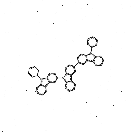 C1=CCC(n2c3ccccc3c3cc(-n4c5ccccc5c5cc(-c6ccc7c(c6)c6ccccc6n7-c6ccccc6)ccc54)ccc32)C=C1